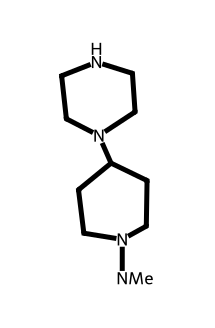 CNN1CCC(N2CCNCC2)CC1